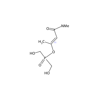 CNC(=O)/C=C(\C)OP(=O)(CO)CO